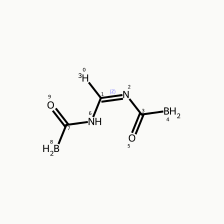 [3H]/C(=N/C(B)=O)NC(B)=O